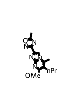 CCCc1c(OC)nc2nc(-c3noc(C)n3)cn2c1C